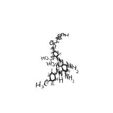 Cc1ccc(NNc2c(N)cc(N)c(N=Nc3ccc(SOC(=O)CSOOO)cc3S(=O)(=O)O)c2C(=O)O)cc1